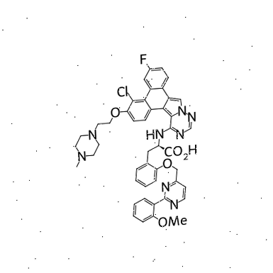 COc1ccccc1-c1nccc(COc2ccccc2C[C@@H](Nc2ncnn3cc4c5ccc(F)cc5c5c(Cl)c(OCCN6CCN(C)CC6)ccc5c4c23)C(=O)O)n1